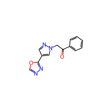 O=C(Cn1cc(-c2nnco2)cn1)c1ccccc1